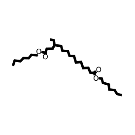 CCCCCCCOC(=O)CCCCCCCCCCC(CC)CCC(=O)OCCCCCCC